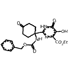 CCOC(=O)c1nc(C2(NC(=O)OCc3ccccc3)CCC(=O)CC2)[nH]c(=O)c1O